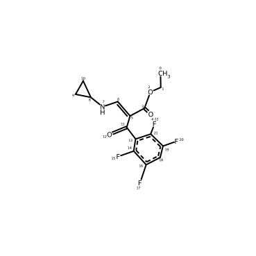 CCOC(=O)/C(=C/NC1CC1)C(=O)c1c(F)c(F)cc(F)c1F